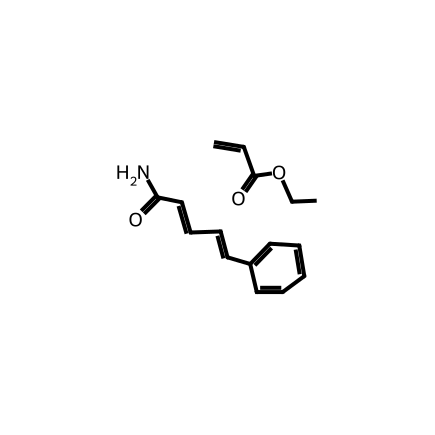 C=CC(=O)OCC.NC(=O)C=CC=Cc1ccccc1